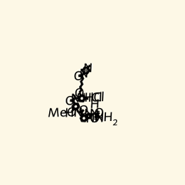 COc1cc(C(=O)N(C)c2ccc(C)cc2OCCCCCC(=O)N2CCN(C)CC2)ccc1NC(=O)c1cccc2[nH]c(NS(N)(=O)=O)nc12.Cl.Cl